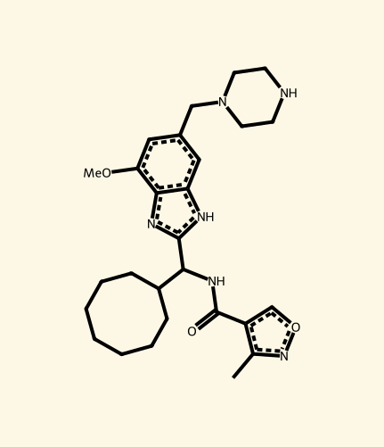 COc1cc(CN2CCNCC2)cc2[nH]c(C(NC(=O)c3conc3C)C3CCCCCCC3)nc12